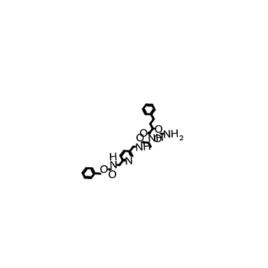 CC(NC(=O)C(CCc1ccccc1)OC(N)=O)C(=O)NCc1ccc(CNC(=O)OCc2ccccc2)nc1